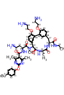 CCCCc1ccc(Oc2nc(C)c(C(=O)N[C@@H](CCN)C(=O)N(C)[C@@H]3C(=O)N[C@@H](C)C(=O)N[C@H](C(=O)NCC#N)Cc4ccc(OCCN)c(c4)-c4cc3ccc4OCCN)c(C)n2)cc1